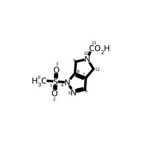 CS(=O)(=O)n1ncc2c1CN(C(=O)O)C2